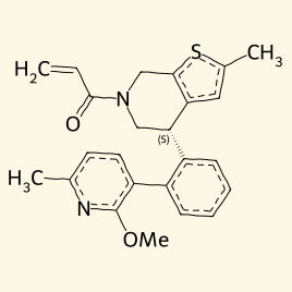 C=CC(=O)N1Cc2sc(C)cc2[C@H](c2ccccc2-c2ccc(C)nc2OC)C1